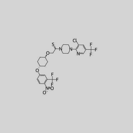 O=[N+]([O-])c1ccc(O[C@H]2CC[C@H](OCC(=S)N3CCN(c4ncc(C(F)(F)F)cc4Cl)CC3)CC2)cc1C(F)(F)F